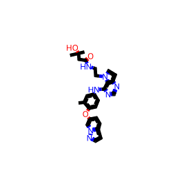 Cc1cc(Nc2ncnc3ccn(CCNC(=O)CC(C)(C)O)c23)ccc1Oc1ccc2ccnn2c1